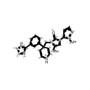 CCCCc1cn(-c2ccnn2CCC)c(=O)n1CC1(c2cccc(-c3nnn[nH]3)c2)C=CNC=C1